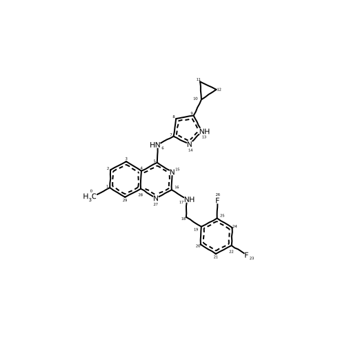 Cc1ccc2c(Nc3cc(C4CC4)[nH]n3)nc(NCc3ccc(F)cc3F)nc2c1